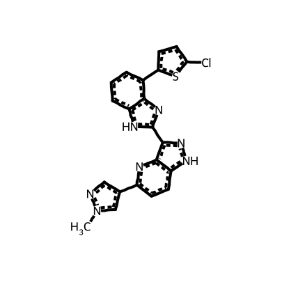 Cn1cc(-c2ccc3[nH]nc(-c4nc5c(-c6ccc(Cl)s6)cccc5[nH]4)c3n2)cn1